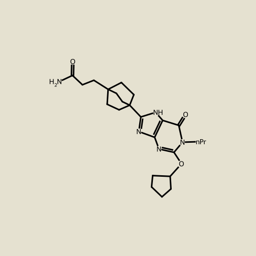 CCCn1c(OC2CCCC2)nc2nc(C34CCC(CCC(N)=O)(CC3)CC4)[nH]c2c1=O